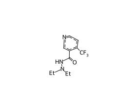 CCN(CC)NC(=O)c1cnccc1C(F)(F)F